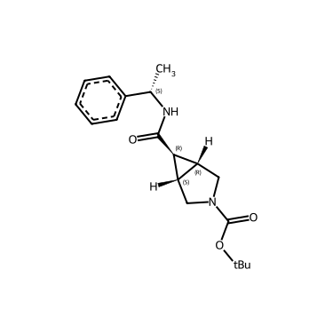 C[C@H](NC(=O)[C@H]1[C@@H]2CN(C(=O)OC(C)(C)C)C[C@@H]21)c1ccccc1